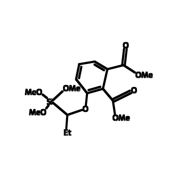 CCC(Oc1cccc(C(=O)OC)c1C(=O)OC)[Si](OC)(OC)OC